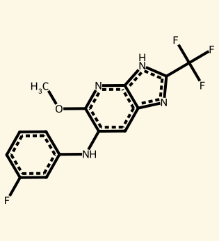 COc1nc2[nH]c(C(F)(F)F)nc2cc1Nc1cccc(F)c1